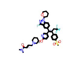 CN(C)C(=O)/C=C/CN1CCC[C@@H](Oc2ccc(/C(=C(/CC(F)(F)F)c3ccc(S(C)(=O)=O)cc3)c3ccc4c(c3)c(F)nn4C3CCCCO3)cn2)C1